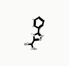 CC(C)(C)C(c1nnc(-c2ccccc2)s1)C(C)(C)C